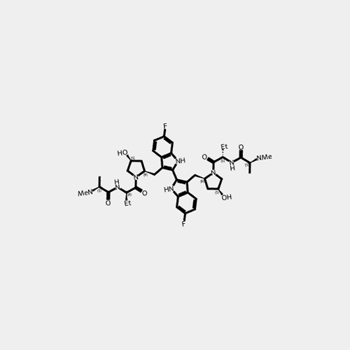 CC[C@H](NC(=O)[C@H](C)NC)C(=O)N1C[C@@H](O)C[C@H]1Cc1c(-c2[nH]c3cc(F)ccc3c2C[C@@H]2C[C@H](O)CN2C(=O)[C@@H](CC)NC(=O)[C@H](C)NC)[nH]c2cc(F)ccc12